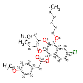 CCCCCCOc1c(OCCC)c(OCCC)c(OC(=O)Cc2ccc(OC)cc2)c2ccc(Cl)cc12